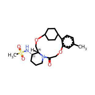 Cc1ccc2c(c1)OCC(=O)N1CCC[C@H](NS(C)(=O)=O)[C@@H]1COC1CCC2CC1